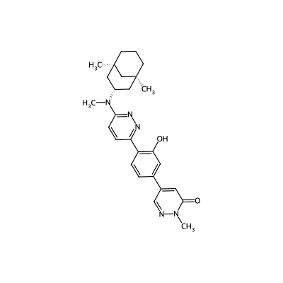 CN(c1ccc(-c2ccc(-c3cnn(C)c(=O)c3)cc2O)nn1)[C@H]1C[C@]2(C)CCC[C@](C)(C1)C2